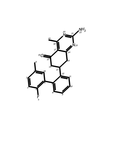 Cc1ccc(F)c(-c2ccccc2C2CC(=O)c3c(C)nc(N)nc3C2)c1